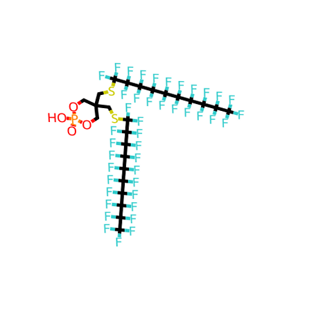 O=P1(O)OCC(CSC(F)(F)C(F)(F)C(F)(F)C(F)(F)C(F)(F)C(F)(F)C(F)(F)C(F)(F)C(F)(F)C(F)(F)F)(CSC(F)(F)C(F)(F)C(F)(F)C(F)(F)C(F)(F)C(F)(F)C(F)(F)C(F)(F)C(F)(F)C(F)(F)F)CO1